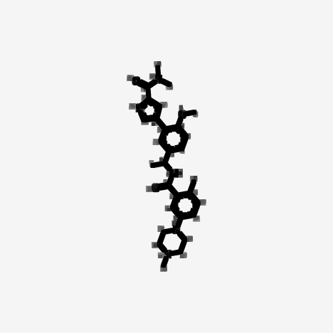 COc1ccc(C(C)NC(=O)c2cc(N3CCN(C)CC3)ccc2C)cc1-c1csc(C(=O)N(C)C)c1